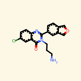 NCCCn1c(-c2ccc3cocc3c2)nc2ccc(Cl)cc2c1=O